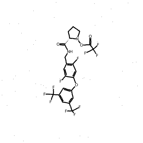 O=C(NCc1cc(F)c(Oc2cc(C(F)(F)F)cc(C(F)(F)F)c2)cc1F)[C@@H]1CCCN1OC(=O)C(F)(F)F